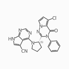 N#Cc1c[nH]c2ncnc(N3CCC[C@H]3c3nn4ccc(Cl)c4c(=O)n3-c3ccccc3)c12